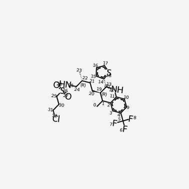 CC1c2cc(C(F)(F)F)ccc2N[C@@H](c2cccs2)[C@@H]1CC[C@@H](C)CNS(=O)(=O)CCCCl